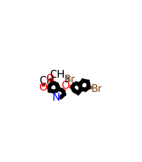 COc1cc2nccc(Oc3ccc4cc(Br)ccc4c3Br)c2cc1OC